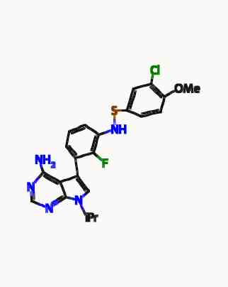 COc1ccc(SNc2cccc(-c3cn(C(C)C)c4ncnc(N)c34)c2F)cc1Cl